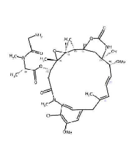 COc1cc2cc(c1Cl)N(C)C(=O)C[C@H](OC(=O)[C@H](C)N(C)C(=O)CN)[C@]1(C)O[C@H]1[C@H](C)[C@@H]1C[C@@](O)(NC(=O)O1)[C@H](OC)/C=C/C=C(\C)C2